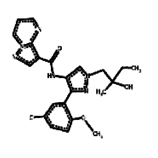 CCC(C)(O)Cn1cc(NC(=O)c2cnn3cccnc23)c(-c2cc(Cl)ccc2OC)n1